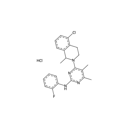 Cc1nc(Nc2ccccc2F)nc(N2CCc3c(Cl)cccc3C2C)c1C.Cl